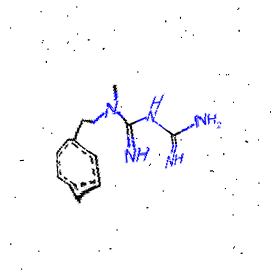 CN(Cc1ccccc1)C(=N)NC(=N)N